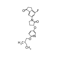 CCC(C)COc1ccc(O[C@@H]2CCN(c3cc(F)c4c(c3)C(=O)CC4)C2=O)cn1